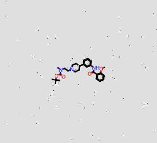 COc1ccccc1C(=O)Nc1cccc(C2CCN(CCN(C)C(=O)OC(C)(C)C)CC2)c1